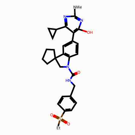 CCS(=O)(=O)c1ccc(CNC(=O)N2CC3(CCCC3)c3cc(-c4c(O)nc(NC)nc4C4CC4)ccc32)cc1